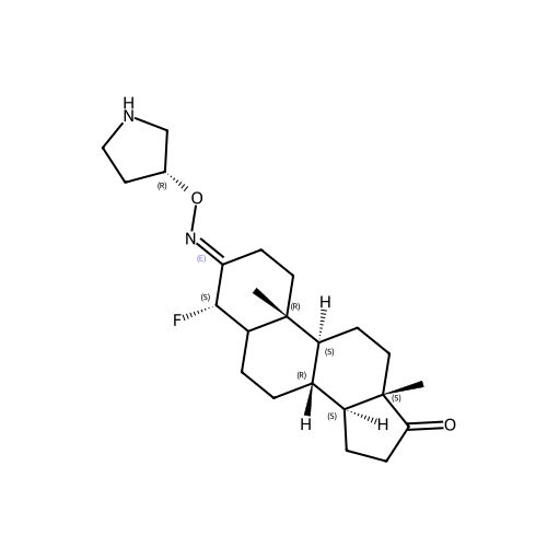 C[C@]12CC/C(=N\O[C@@H]3CCNC3)[C@@H](F)C1CC[C@@H]1[C@@H]2CC[C@]2(C)C(=O)CC[C@@H]12